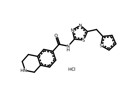 Cl.O=C(Nc1nnc(Cc2cccs2)s1)c1ccc2c(c1)CCNC2